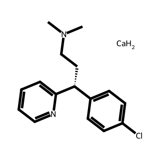 CN(C)CC[C@H](c1ccc(Cl)cc1)c1ccccn1.[CaH2]